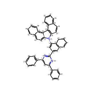 C1=Cc2cc(-c3nc(-c4ccccc4)cc(-c4ccccc4)n3)cc(-n3c4ccc5ccccc5c4c4c5ccccc5ccc43)c2CC1